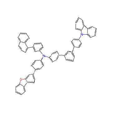 c1cc(-c2ccc(N(c3ccc(-c4ccc5c(c4)oc4ccccc45)cc3)c3cccc(-c4cccc5ccccc45)c3)cc2)cc(-c2ccc(-n3c4ccccc4c4ccccc43)cc2)c1